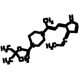 CC=C=c1cc[nH]/c1=C/C=C(\C)N1CCN(C(=O)OC(C)(C)C)CC1